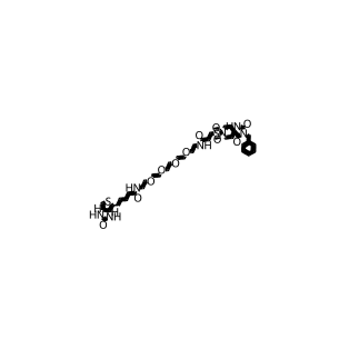 O=C(CCCC[C@@H]1SC[C@@H]2NC(=O)N[C@@H]21)NCCOCCOCCOCCOCCNC(=O)CCS(=O)(=O)N1CCC2(CC1)NC(=O)N(Cc1ccccc1)C2=O